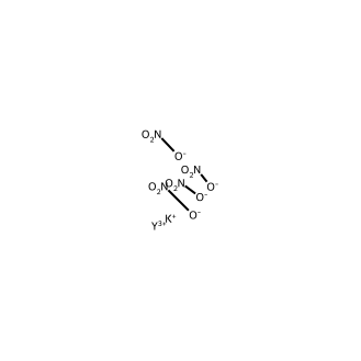 O=[N+]([O-])[O-].O=[N+]([O-])[O-].O=[N+]([O-])[O-].O=[N+]([O-])[O-].[K+].[Y+3]